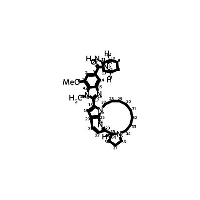 COc1cc(C(=O)N2[C@H]3CC[C@@H]2[C@H](N)C3)cc2nc(-c3cc4ccc5nc4n3CCCCCCCCN3CCC[C@H]53)n(C)c12